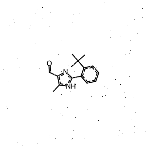 Cc1[nH]c(-c2ccccc2C(C)(C)C)nc1C=O